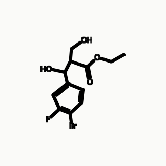 CCOC(=O)C(CO)C(O)c1ccc(Br)c(F)c1